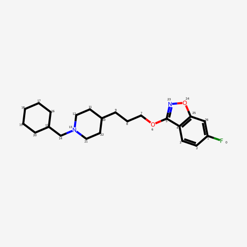 Fc1ccc2c(OCCCC3CCN(CC4CCCCC4)CC3)noc2c1